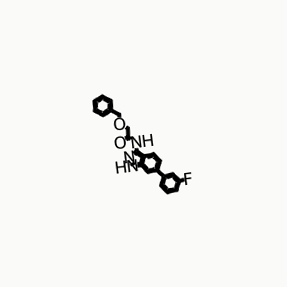 O=C(COCc1ccccc1)Nc1n[nH]c2cc(-c3cccc(F)c3)ccc12